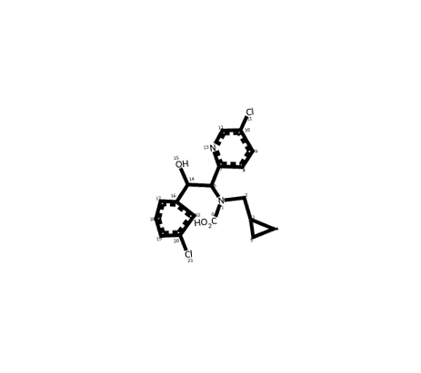 O=C(O)N(CC1CC1)C(c1ccc(Cl)cn1)C(O)c1cccc(Cl)c1